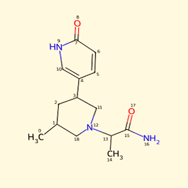 CC1CC(c2ccc(=O)[nH]c2)CN(C(C)C(N)=O)C1